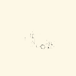 Cc1nc(C)c(CN2CCCC[C@@H]2COc2ccc3c(c2)CN(N2C(=O)CCCC2=O)C3=O)s1